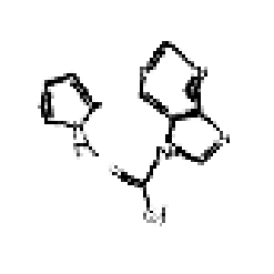 O=C(O)n1cnc2ncncc21.c1cc[nH]c1